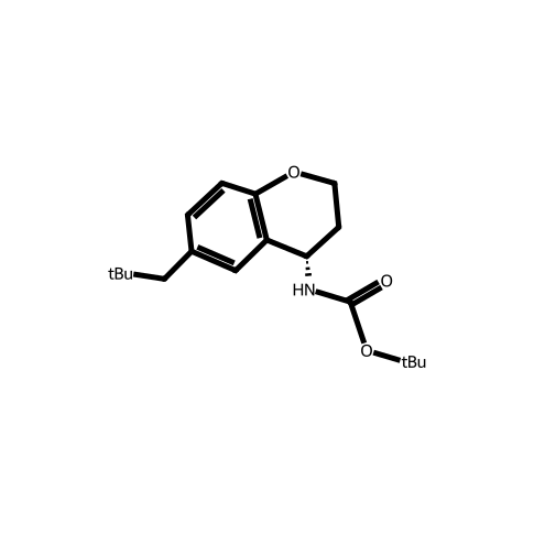 CC(C)(C)Cc1ccc2c(c1)[C@@H](NC(=O)OC(C)(C)C)CCO2